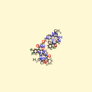 CN[C@@H](C)C(=O)N[C@H](C(=O)N1CCN(C(=O)c2c(C(=O)NCCOCCN3CCN(c4cc(Nc5ncc(C(=O)Nc6c(C)cccc6Cl)s5)nc(C)n4)CC3)c3cc(F)c(F)cc3n2C)CC1)C1CCCCC1